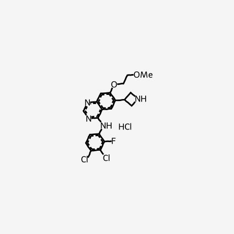 COCCOc1cc2ncnc(Nc3ccc(Cl)c(Cl)c3F)c2cc1C1CNC1.Cl